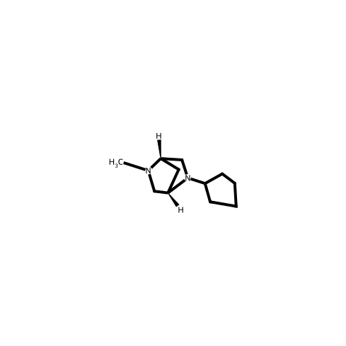 CN1C[C@@H]2C[C@H]1CN2C1CCCC1